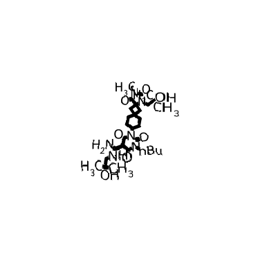 CCCCN1C(=O)/C(=C(/N)NCC(C)(C)O)C(=O)N(C2CCC3(CC2)CC2(C3)C(=O)N(C)C(=O)N2CC(C)(C)O)C1=O